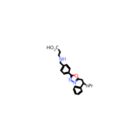 CCCC(Cc1nnc(-c2ccc(CNCCC(=O)O)cc2)o1)c1ccccc1